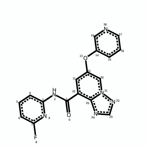 O=C(Nc1cccc(F)n1)c1cc(Oc2cccnc2)cn2ncnc12